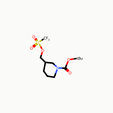 CC(C)(C)OC(=O)N1CCCC(COS(=O)(=O)C(F)(F)F)C1